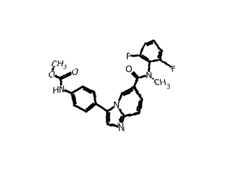 COC(=O)Nc1ccc(-c2cnc3ccc(C(=O)N(C)c4c(F)cccc4F)cn23)cc1